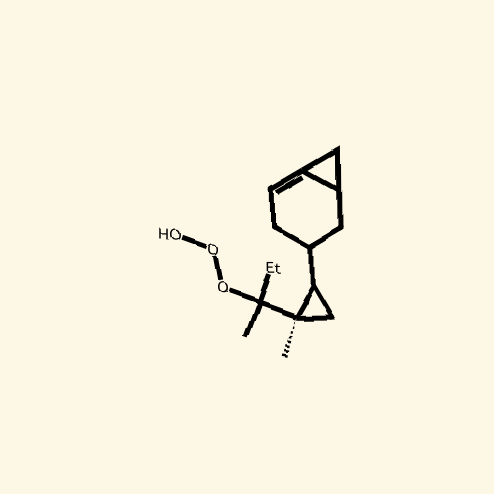 CCC(C)(OOO)[C@]1(C)CC1C1CC=C2CC2C1